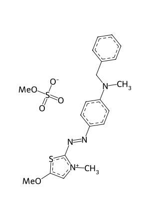 COS(=O)(=O)[O-].COc1c[n+](C)c(N=Nc2ccc(N(C)Cc3ccccc3)cc2)s1